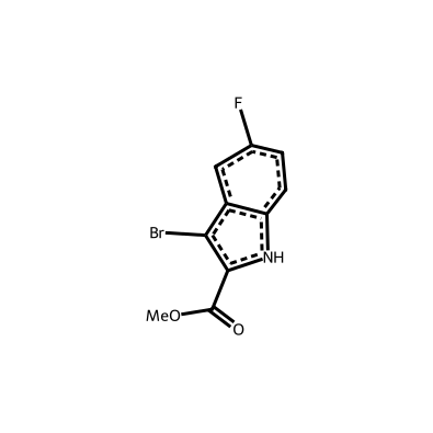 COC(=O)c1[nH]c2ccc(F)cc2c1Br